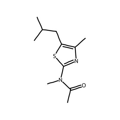 CC(=O)N(C)c1nc(C)c(CC(C)C)s1